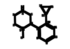 CN1CCNCC1c1ccccc1C1CC1